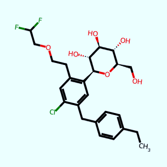 CCc1ccc(Cc2cc([C@@H]3O[C@H](CO)[C@@H](O)[C@H](O)[C@H]3O)c(CCOCC(F)F)cc2Cl)cc1